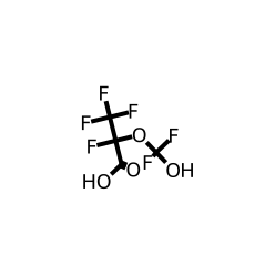 O=C(O)C(F)(OC(O)(F)F)C(F)(F)F